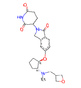 CCN(CC1COC1)[C@@H]1CCC[C@H]1Oc1ccc2c(c1)CN(C1CCC(=O)NC1=O)C2=O